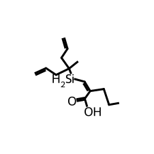 C=CCC(C)(CC=C)[SiH2]C=C(CCC)C(=O)O